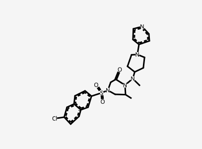 CC1CN(S(=O)(=O)c2ccc3cc(Cl)ccc3c2)CC(=O)N1N(C)C1CCN(c2ccncc2)CC1